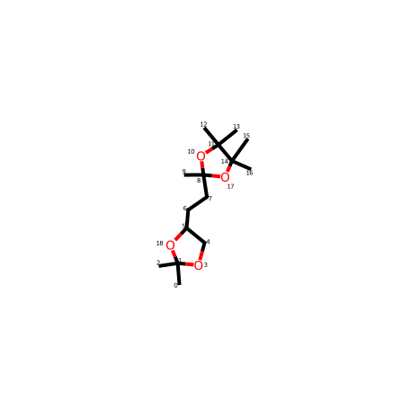 CC1(C)OCC(CCC2(C)OC(C)(C)C(C)(C)O2)O1